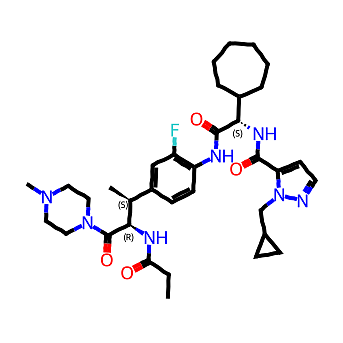 CCC(=O)N[C@@H](C(=O)N1CCN(C)CC1)[C@@H](C)c1ccc(NC(=O)[C@@H](NC(=O)c2ccnn2CC2CC2)C2CCCCCC2)c(F)c1